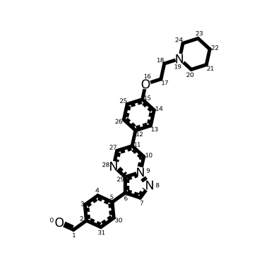 O=Cc1ccc(-c2cnn3cc(-c4ccc(OCCN5CCCCC5)cc4)cnc23)cc1